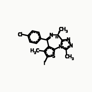 Cc1c(I)sc2c1C(c1ccc(Cl)cc1)=N[C@@H](C)c1nnc(C)n1-2